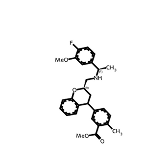 COC(=O)c1cc(C2C[C@H](CN[C@H](C)c3ccc(F)c(OC)c3)Oc3ccccc32)ccc1C